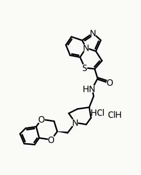 Cl.Cl.O=C(NCC1CCN(C[C@@H]2COc3ccccc3O2)CC1)C1=Cc2cnc3cccc(n23)S1